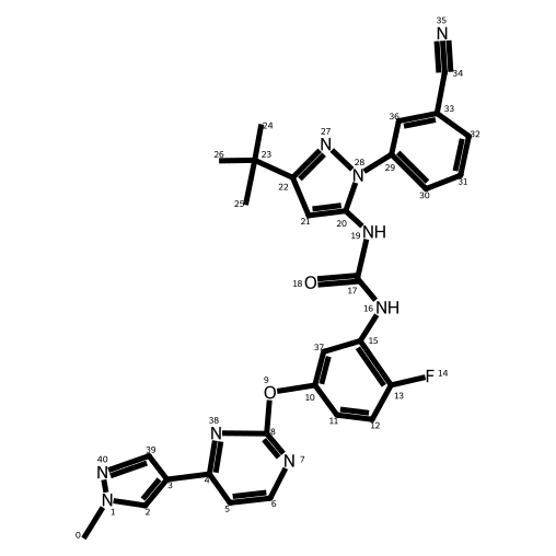 Cn1cc(-c2ccnc(Oc3ccc(F)c(NC(=O)Nc4cc(C(C)(C)C)nn4-c4cccc(C#N)c4)c3)n2)cn1